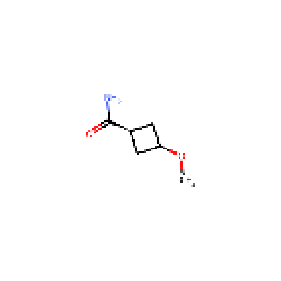 NC(=O)[C@H]1C[C@@H](OC(F)(F)F)C1